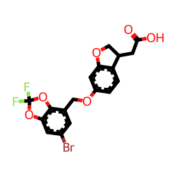 O=C(O)CC1COc2cc(OCc3cc(Br)cc4c3OC(F)(F)O4)ccc21